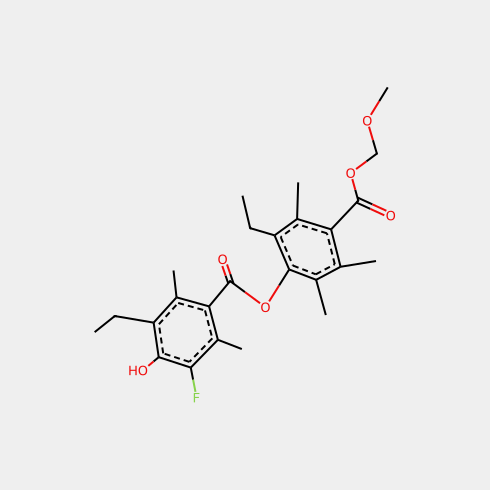 CCc1c(C)c(C(=O)Oc2c(C)c(C)c(C(=O)OCOC)c(C)c2CC)c(C)c(F)c1O